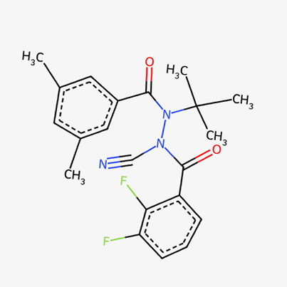 Cc1cc(C)cc(C(=O)N(N(C#N)C(=O)c2cccc(F)c2F)C(C)(C)C)c1